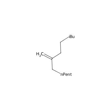 [CH2]CCCCCC(=C)CCC(C)CC